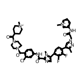 Cc1nn(CC(=O)Nc2ccc[n+](C)c2)cc1-c1ccc(-c2cnc(C(=O)Nc3ccc(C(=O)N4CCN(C(=O)C5CC[N+](C)(C)CC5)CC4)c(Cl)c3)n2C)c(F)c1F